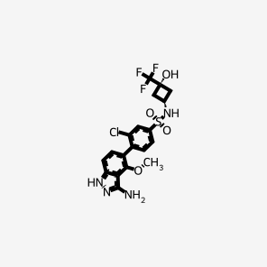 COc1c(-c2ccc(S(=O)(=O)N[C@H]3C[C@](O)(C(F)(F)F)C3)cc2Cl)ccc2[nH]nc(N)c12